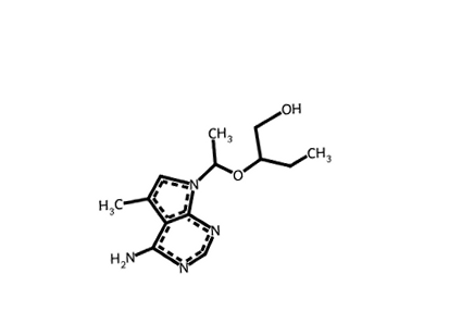 CCC(CO)OC(C)n1cc(C)c2c(N)ncnc21